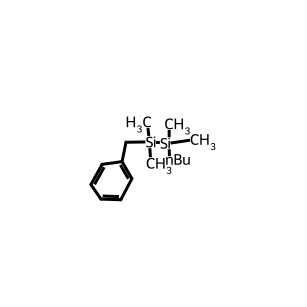 CCCC[Si](C)(C)[Si](C)(C)Cc1ccccc1